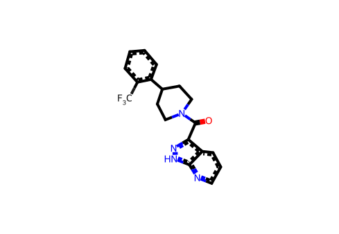 O=C(c1n[nH]c2ncccc12)N1CCC(c2ccccc2C(F)(F)F)CC1